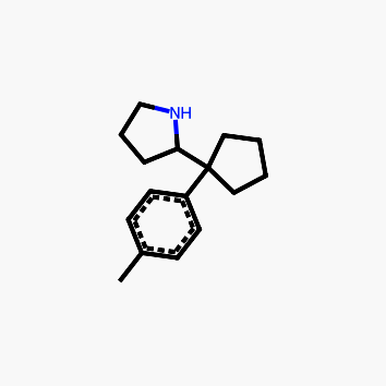 Cc1ccc(C2(C3CCCN3)CCCC2)cc1